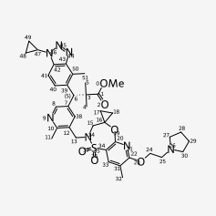 COC(=O)C(C)(C)[C@H](c1cnc(C)c(CN2CC3(CC3)Oc3nc(OCCN4CCCC4)c(C)cc3S2(=O)=O)c1)c1ccc2c(nnn2C2CC2)c1C